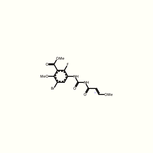 CO/C=C/C(=O)NC(=O)Nc1cc(Br)c(OC)c(C(=O)OC)c1F